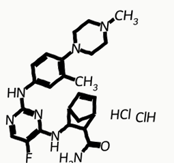 Cc1cc(Nc2ncc(F)c(NC3C4C=CC(C4)C3C(N)=O)n2)ccc1N1CCN(C)CC1.Cl.Cl